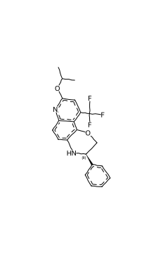 CC(C)Oc1cc(C(F)(F)F)c2c3c(ccc2n1)N[C@H](c1ccccc1)CO3